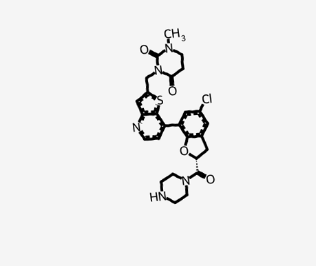 CN1CCC(=O)N(Cc2cc3nccc(-c4cc(Cl)cc5c4O[C@@H](C(=O)N4CCNCC4)C5)c3s2)C1=O